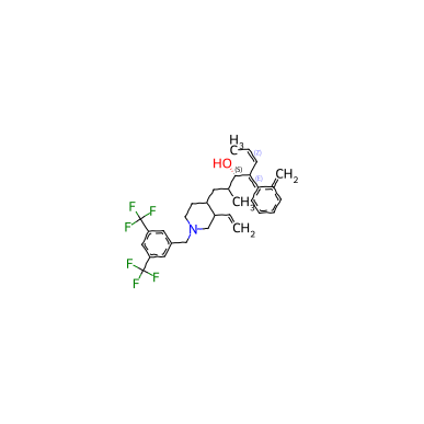 C=CC1CN(Cc2cc(C(F)(F)F)cc(C(F)(F)F)c2)CCC1CC(C)[C@H](O)C(/C=C\C)=c1\ccccc1=C